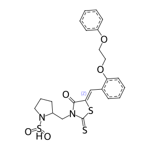 O=C1/C(=C/c2ccccc2OCCOc2ccccc2)SC(=S)N1CC1CCCN1[SH](=O)=O